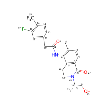 Cc1ccc2c(c1NC(=O)Cc1ccc(C(F)(F)F)c(F)c1)CCN([C@@H](C)CO)C2=O